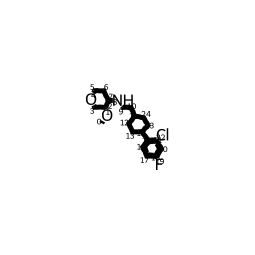 COC1COCCC1NCCC1CCC(c2ccc(F)cc2Cl)CC1